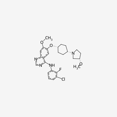 COc1cc2ncnc(Nc3cccc(Cl)c3F)c2cc1O[C@H]1CC[C@@H](N2CC[C@H](OC)C2)CC1